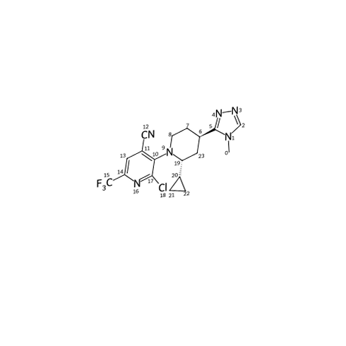 Cn1cnnc1[C@@H]1CCN(c2c(C#N)cc(C(F)(F)F)nc2Cl)[C@@H](C2CC2)C1